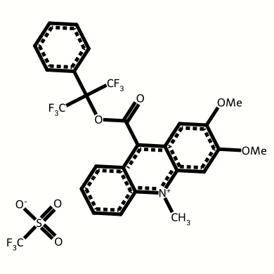 COc1cc2c(C(=O)OC(c3ccccc3)(C(F)(F)F)C(F)(F)F)c3ccccc3[n+](C)c2cc1OC.O=S(=O)([O-])C(F)(F)F